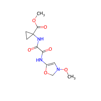 COC(=O)C1(NC(=O)C(=O)NC2=CN(OC)CO2)CC1